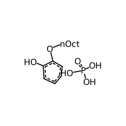 CCCCCCCCOc1ccccc1O.O=P(O)(O)O